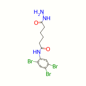 NNC(=O)CCCCC(=O)Nc1cc(Br)c(Br)cc1Br